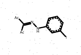 CC(=O)C(=NNc1cccc(I)c1)C(C)=O